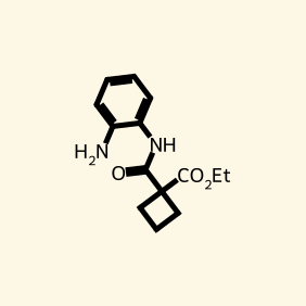 CCOC(=O)C1(C(=O)Nc2ccccc2N)CCC1